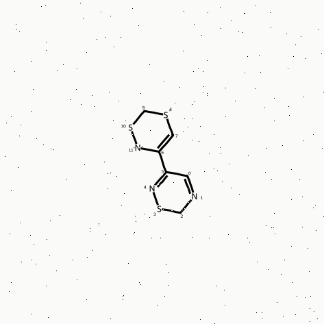 C1=NCSN=C1C1=CSCS[N]1